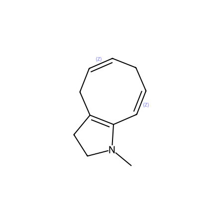 CN1CCC2=C1/C=C\C/C=C\C2